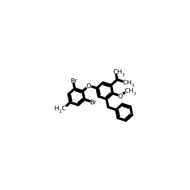 [CH2]c1cc(Br)c(Oc2cc(Cc3ccccc3)c(OC)c(C(C)C)c2)c(Br)c1